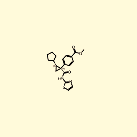 COC(=O)c1ccc([C@@]2(C(=O)Nc3nccs3)C[C@H]2C2CCCC2)cc1